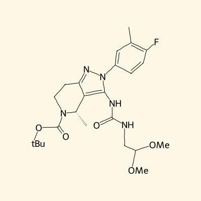 COC(CNC(=O)Nc1c2c(nn1-c1ccc(F)c(C)c1)CCN(C(=O)OC(C)(C)C)[C@H]2C)OC